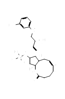 CC[Si](CC)(CC)OC1C[C@@H]2OC(=O)CCC/C=C\C[C@@H]2[C@H]1/C=C/[C@@H](O)COc1cccc(C(F)(F)F)c1